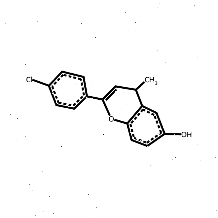 CC1C=C(c2ccc(Cl)cc2)Oc2ccc(O)cc21